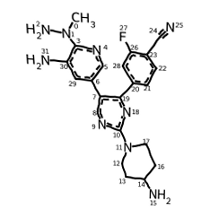 CN(N)c1ncc(-c2cnc(N3CCC(N)CC3)nc2-c2ccc(C#N)c(F)c2)cc1N